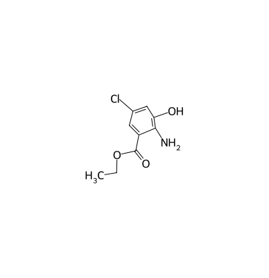 CCOC(=O)c1cc(Cl)cc(O)c1N